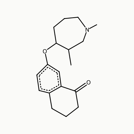 CC1CN(C)CCCC1Oc1ccc2c(c1)C(=O)CCC2